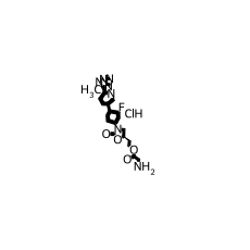 CC1(c2ccc(-c3ccc(N4C[C@@H](CCOC(=O)CN)OC4=O)cc3F)cn2)N=NN=N1.Cl